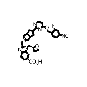 [C-]#[N+]c1ccc(COc2ccnc(C3=CC4CN(Cc5nc6ccc(C(=O)O)cc6n5C[C@@H]5CCO5)CC4C3)n2)c(F)c1